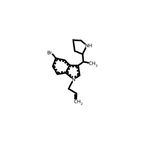 C=CCn1cc(C(C)C2CCCN2)c2cc(Br)ccc21